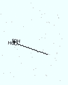 CCCCCCCCCCCCCCCCCCCCCCCOP(O)(O)=S